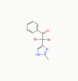 Cc1nc(C(Br)(Br)C(=O)c2ccccc2)c[nH]1